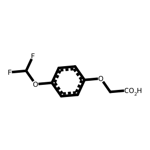 O=C(O)COc1ccc(OC(F)F)cc1